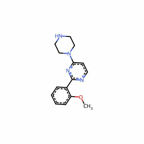 COc1ccccc1-c1nccc(N2CCNCC2)n1